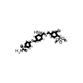 NS(=O)(=O)c1ccc(SCc2ccc(CSCc3ccc(CP(=O)(OF)OF)c(Br)c3)cc2)cc1.[NaH]